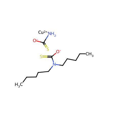 CCCCCN(CCCCC)C([O-])=S.NC([O-])=S.[Cu+2]